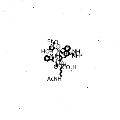 CCC(=O)N1C[C@H](O)C[C@H]1C(=O)N[C@H](Cc1ccccc1)C(=O)N[C@@H](CCCNC(=N)N)C(=O)N[C@@H](Cc1c[nH]c2ccccc12)C(=O)N[C@@H](CCCCNC(C)=O)C(=O)O